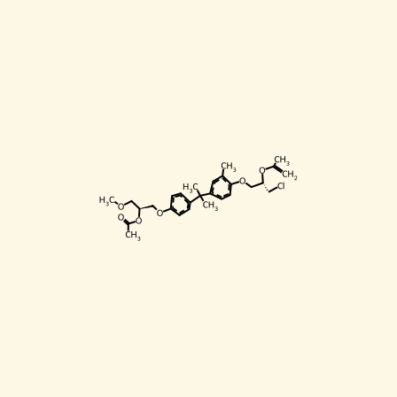 C=C(C)O[C@H](CCl)COc1ccc(C(C)(C)c2ccc(OC[C@H](COC)OC(C)=O)cc2)cc1C